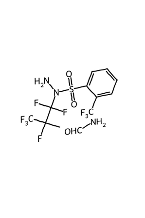 CC(F)(C(F)(F)F)C(F)(F)N(N)S(=O)(=O)c1ccccc1C(F)(F)F.NC=O